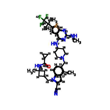 BC(B)(c1cc2c(NC3CCN(Cc4ccc5c(cc(C#N)n5CC5CC(C)(NC(=O)C6CC6)C5)c4C)CC3)nc(NC)nc2s1)C(F)(F)F